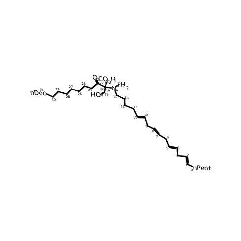 CCCCCC=CCC=CCC=CCC=CCCCCN(P)[C@@](CO)(C(=O)O)C(=O)CCCCCCCCCCCCCCCCC